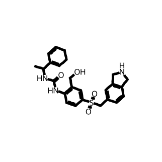 CC(NC(=O)Nc1ccc(S(=O)(=O)Cc2ccc3c(c2)CNC3)cc1CO)C1=CCCC=C1